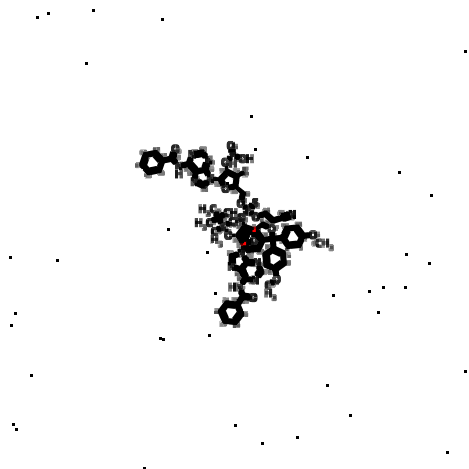 COc1ccc(C(OC[C@H]2O[C@@H](n3cnc4c(NC(=O)c5ccccc5)ncnc43)[C@H](O[Si](C)(C)C(C)(C)C)[C@@H]2OP(=S)(OCCC#N)OC[C@H]2O[C@@H](n3cnc4c(NC(=O)c5ccccc5)ncnc43)[C@H](O[PH](=O)O)[C@H]2F)(c2ccccc2)c2ccc(OC)cc2)cc1